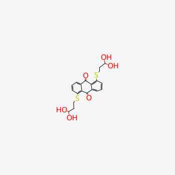 O=C1c2cccc(SCCC(O)O)c2C(=O)c2cccc(SCCC(O)O)c21